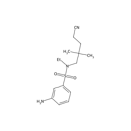 CCN(CC(C)(C)CCC#N)S(=O)(=O)c1cccc(N)c1